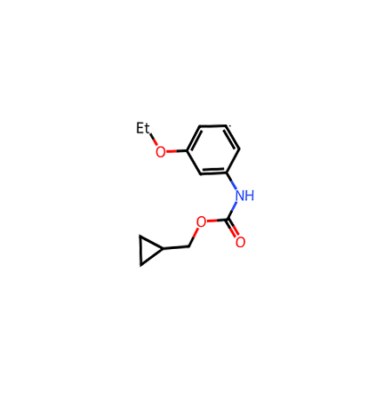 CCOc1c[c]cc(NC(=O)OCC2CC2)c1